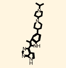 Cc1c(-c2ncnc3[nH]ccc23)[nH]c2ccc(C3CCN(C4CCN(C(C)C)CC4)CC3)cc12